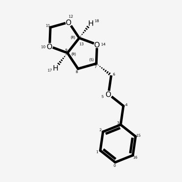 c1ccc(COC[C@@H]2C[C@H]3OCO[C@H]3O2)cc1